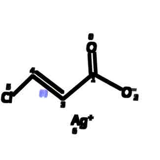 O=C([O-])/C=C/Cl.[Ag+]